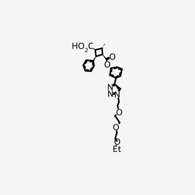 CCOCCOCCOCCn1cc(-c2cccc(OC(=O)[C@@H]3[C@@H](C)[C@@H](C(=O)O)[C@@H]3c3ccccc3)c2)nn1